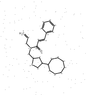 C=CCN(CC1CC(C2CCCCCCC2)CS1)C(=O)/C=C/c1ccccc1